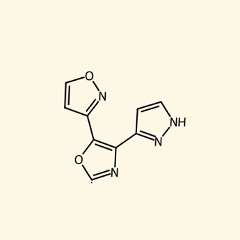 [c]1nc(-c2cc[nH]n2)c(-c2ccon2)o1